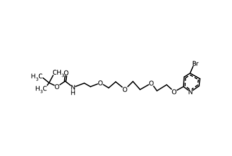 CC(C)(C)OC(=O)NCCOCCOCCOCCOc1cc(Br)ccn1